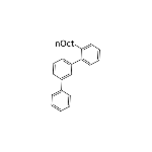 CCCCCCCCc1ccccc1-c1cccc(-c2ccccc2)c1